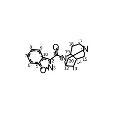 O=C(c1noc2ccccc12)N1C2CC3CN(CCC31)C2